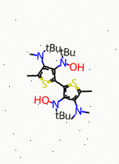 Cc1sc(-c2sc(C)c(N(C)C(C)(C)C)c2N(O)C(C)(C)C)c(N(O)C(C)(C)C)c1N(C)C